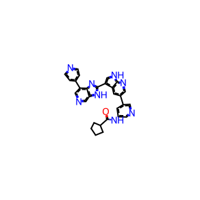 O=C(Nc1cncc(-c2cnc3[nH]cc(-c4nc5c(-c6ccncc6)cncc5[nH]4)c3c2)c1)C1CCCC1